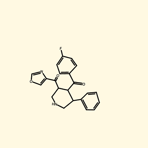 O=C(c1cocn1)C1CNCC(c2ccccc2)C1C(=O)c1ccc(F)cc1